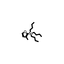 CCC[CH2][Sn]([CH2]CCC)([CH2]CCC)[c]1occc1C